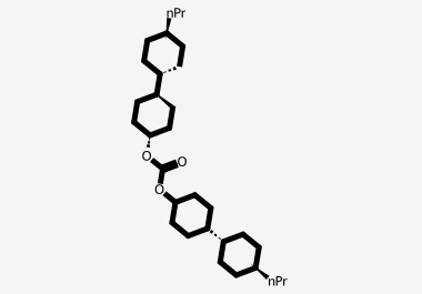 CCC[C@H]1CC[C@H](C2CCC(OC(=O)O[C@H]3CC[C@H]([C@H]4CC[C@H](CCC)CC4)CC3)CC2)CC1